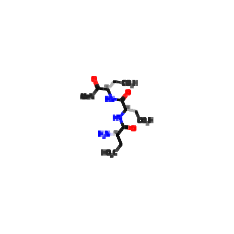 CNC(=O)[C@H](CC(=O)O)NC(=O)[C@H](CC(=O)O)NC(=O)[C@@H](N)CC(=O)O